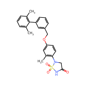 Cc1cc(OCc2cccc(-c3c(C)cccc3C)c2)ccc1N1CC(=O)NS1(=O)=O